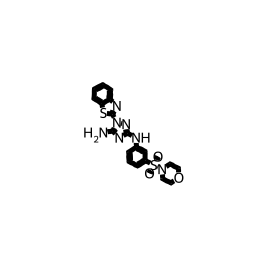 Nc1nc(Nc2cccc(S(=O)(=O)N3CCOCC3)c2)nn1-c1nc2ccccc2s1